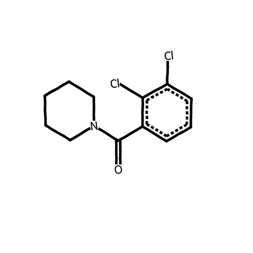 O=C(c1cccc(Cl)c1Cl)N1CCCCC1